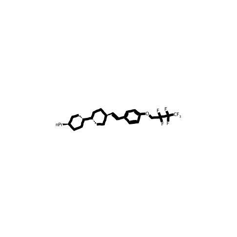 CCC[C@H]1CC[C@H]([C@H]2CC[C@H](C=Cc3ccc(OCC(F)(F)C(F)(F)C(F)(F)F)cc3)CC2)CC1